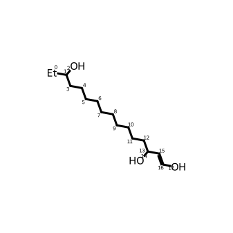 CCC(O)CCCCCCCCCCC(O)C=CO